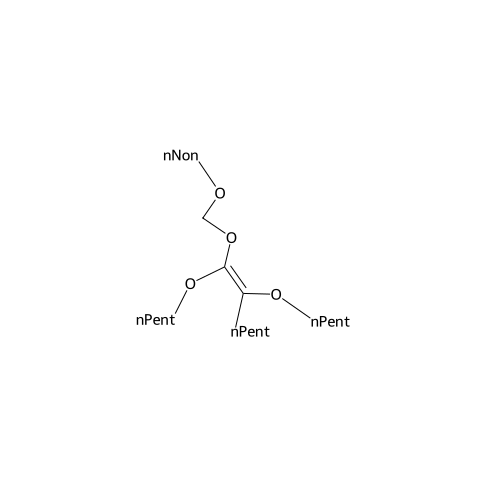 CCCCCCCCCOCOC(OCCCCC)=C(CCCCC)OCCCCC